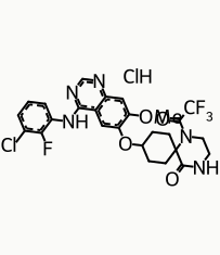 COc1cc2ncnc(Nc3cccc(Cl)c3F)c2cc1OC1CCC2(CC1)C(=O)NCCN2C(=O)C(F)(F)F.Cl